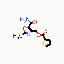 Cc1nc(COC(=O)c2cccs2)c(C(N)=O)o1